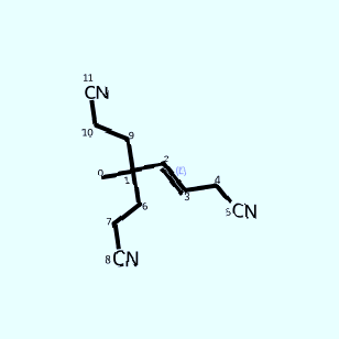 CC(/C=C/CC#N)(CCC#N)CCC#N